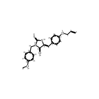 C=CCOc1ccc(/C=C2\SC(=S)N(Cc3ccc(OC)cc3)C2=O)cc1